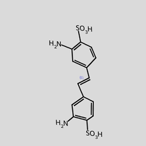 Nc1cc(/C=C/c2ccc(S(=O)(=O)O)c(N)c2)ccc1S(=O)(=O)O